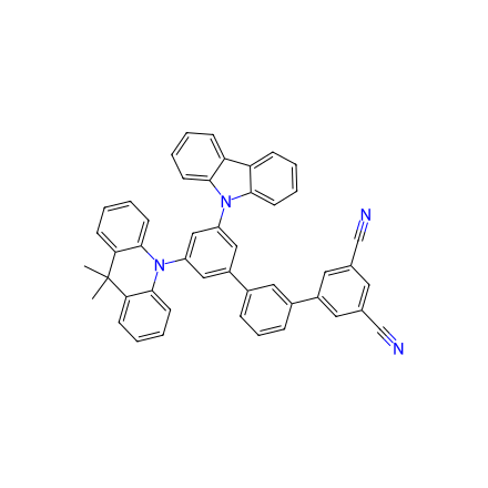 CC1(C)c2ccccc2N(c2cc(-c3cccc(-c4cc(C#N)cc(C#N)c4)c3)cc(-n3c4ccccc4c4ccccc43)c2)c2ccccc21